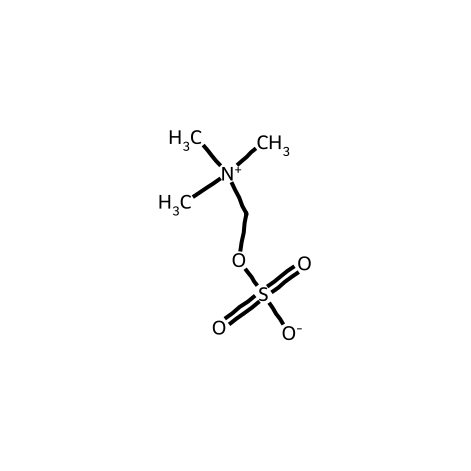 C[N+](C)(C)COS(=O)(=O)[O-]